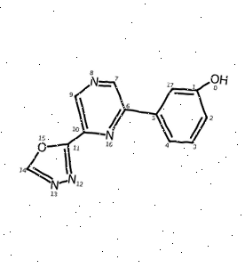 Oc1cccc(-c2cncc(-c3nnco3)n2)c1